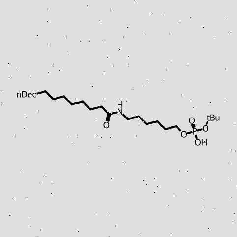 CCCCCCCCCCCCCCCCCC(=O)NCCCCCCOP(=O)(O)OC(C)(C)C